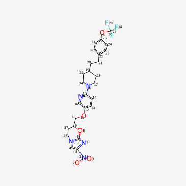 O=[N+]([O-])c1cn2c(n1)OC(COc1ccc(N3CCC(CCc4ccc(OC(F)(F)F)cc4)CC3)nc1)CC2